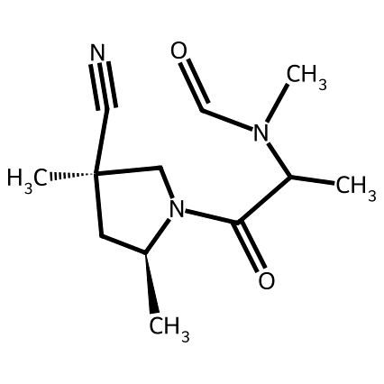 CC(C(=O)N1C[C@](C)(C#N)C[C@@H]1C)N(C)C=O